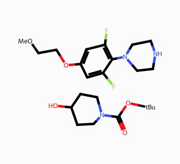 CC(C)(C)OC(=O)N1CCC(O)CC1.COCCOc1cc(F)c(N2CCNCC2)c(F)c1